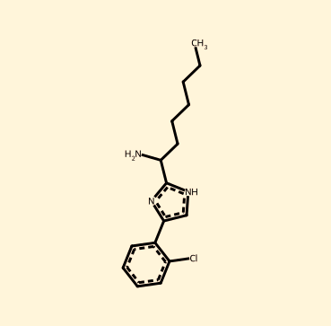 CCCCCCC(N)c1nc(-c2ccccc2Cl)c[nH]1